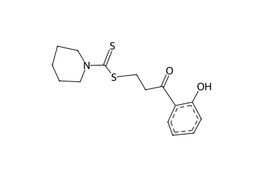 O=C(CCSC(=S)N1CCCCC1)c1ccccc1O